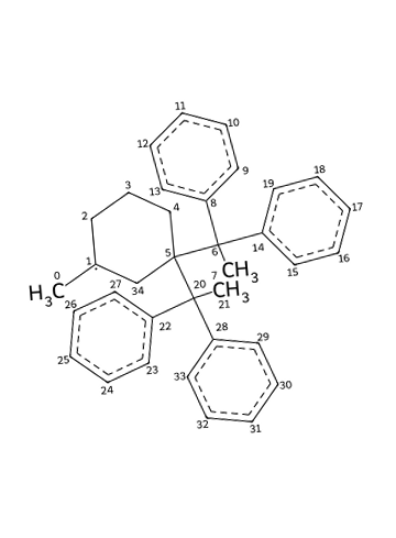 C[C]1CCCC(C(C)(c2ccccc2)c2ccccc2)(C(C)(c2ccccc2)c2ccccc2)C1